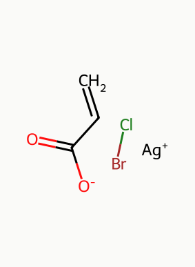 C=CC(=O)[O-].ClBr.[Ag+]